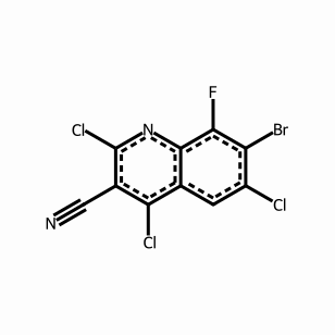 N#Cc1c(Cl)nc2c(F)c(Br)c(Cl)cc2c1Cl